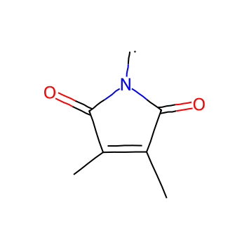 [CH2]N1C(=O)C(C)=C(C)C1=O